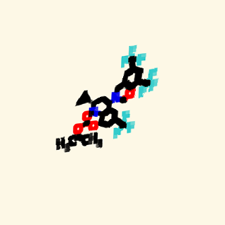 CC(C)OC(=O)ON1c2ccc(C(F)(F)F)cc2[C@@H](N(C=O)Cc2cc(C(F)(F)F)cc(C(F)(F)F)c2)C[C@H]1C1CC1